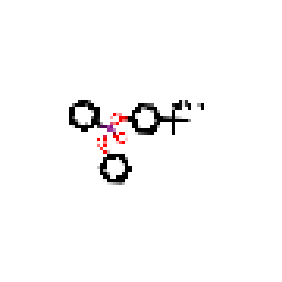 CCCCCC(C)(C)c1ccc(OP(=O)(Oc2ccccc2)c2ccccc2)cc1